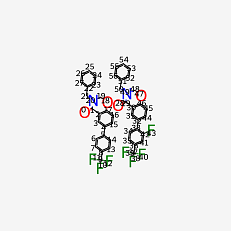 O=C1c2cc(-c3ccc(C(F)(F)F)cc3)ccc2OCN1Cc1ccccc1.O=C1c2cc(-c3ccc(C(F)(F)F)cc3F)ccc2OCN1Cc1ccccc1